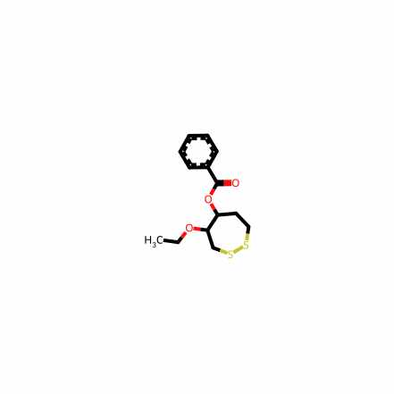 CCOC1CSSCCC1OC(=O)c1ccccc1